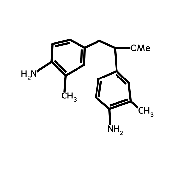 COC(Cc1ccc(N)c(C)c1)c1ccc(N)c(C)c1